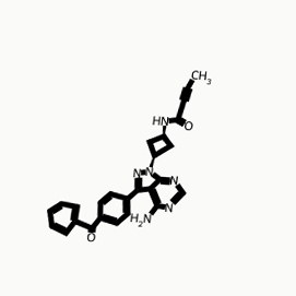 CC#CC(=O)N[C@H]1C[C@@H](n2nc(-c3ccc(C(=O)c4ccccc4)cc3)c3c(N)ncnc32)C1